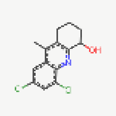 Cc1c2c(nc3c(Cl)cc(Cl)cc13)C(O)CCC2